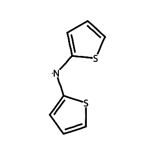 c1csc([N]c2cccs2)c1